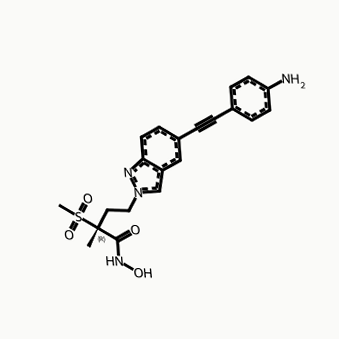 C[C@@](CCn1cc2cc(C#Cc3ccc(N)cc3)ccc2n1)(C(=O)NO)S(C)(=O)=O